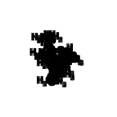 Cc1cn(C2CN(C(=O)CCC3CN(C(=O)CNC(=O)C(N)NC(=N)N)CC(n4cnc5c(=O)[nH]c(N)nc54)O3)CC(COP(=O)(N(C)C)N3CC(COP(=O)(N(C)C)N4CC(COP(C)(=O)N(C)C)OC(n5ccc(N)nc5=O)C4)OC(n4ccc(N)nc4=O)C3)O2)c(=O)[nH]c1=O